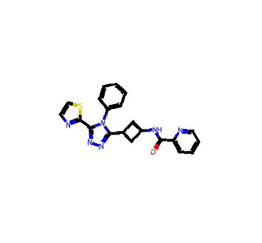 O=C(NC1CC(c2nnc(-c3nccs3)n2-c2ccccc2)C1)c1ccccn1